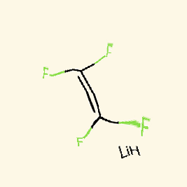 FC(F)=C(F)F.[LiH]